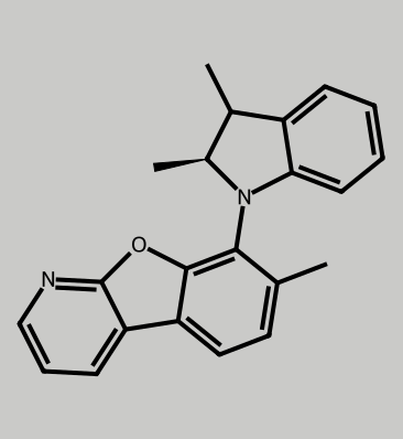 Cc1ccc2c(oc3ncccc32)c1N1c2ccccc2C(C)[C@@H]1C